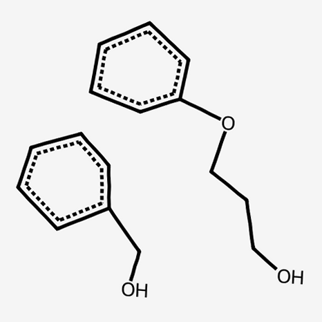 OCCCOc1ccccc1.OCc1ccccc1